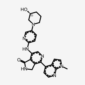 Cn1ccc2c(-c3ncc(Nc4ccc(N5CCC[C@H](O)C5)cn4)c4c3CNC4=O)ccnc21